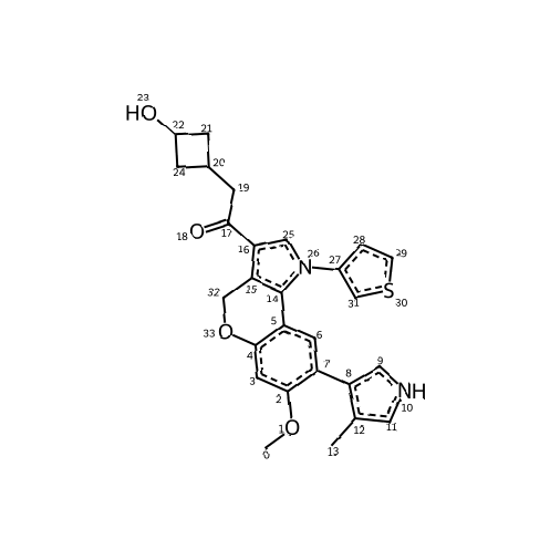 COc1cc2c(cc1-c1c[nH]cc1C)-c1c(c(C(=O)CC3CC(O)C3)cn1-c1ccsc1)CO2